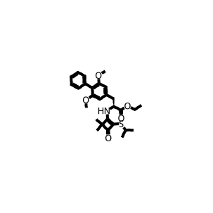 CCOC(=O)[C@H](Cc1cc(OC)c(-c2ccccc2)c(OC)c1)NC1=C(SC(C)C)C(=O)C1(C)C